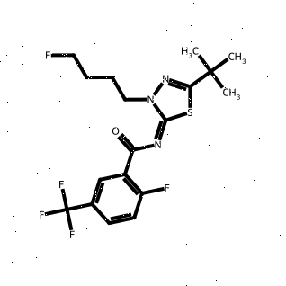 CC(C)(C)c1nn(CCCCF)c(=NC(=O)c2cc(C(F)(F)F)ccc2F)s1